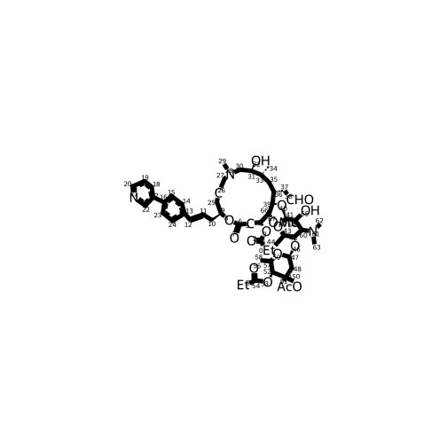 CCC(=O)O[C@@H]1CC(=O)O[C@@H](C/C=C/c2ccc(-c3cccnc3)cc2)CCCN(C)C[C@H](O)[C@H](C)C[C@H](CC=O)[C@H](O[C@@H]2OC(C)[C@@H](O[C@H]3CC(C)(OC(C)=O)[C@@H](OC(=O)CC)C(C)O3)C(N(C)C)C2O)[C@H]1OC